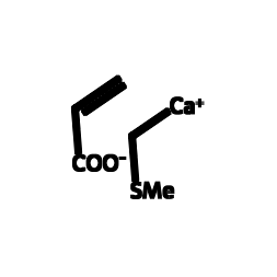 C=CC(=O)[O-].CS[CH2][Ca+]